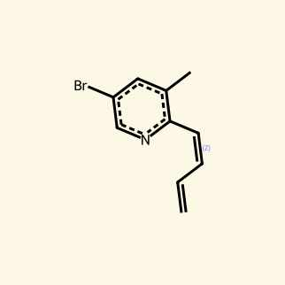 C=C/C=C\c1ncc(Br)cc1C